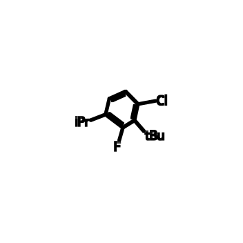 CC(C)c1ccc(Cl)c(C(C)(C)C)c1F